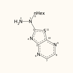 CCCCCCN(N)c1nc2nccnc2s1